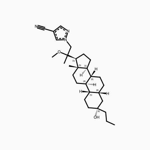 CCC[C@@]1(O)CC[C@H]2[C@H](CC[C@@H]3[C@@H]2CC[C@]2(C)[C@@H](C(C)(Cn4cc(C#N)cn4)OC)CC[C@@H]32)C1